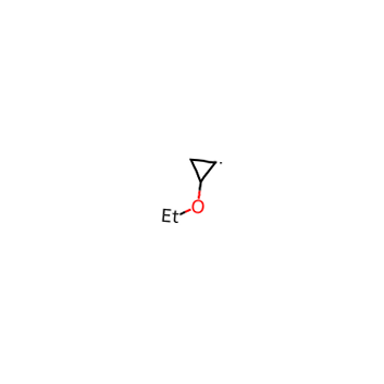 [CH2]COC1[CH]C1